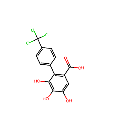 O=C(O)c1cc(O)c(O)c(O)c1-c1ccc(C(Cl)(Cl)Cl)cc1